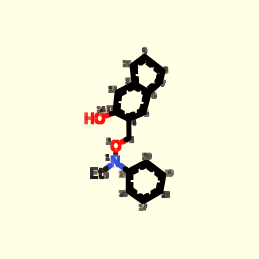 CCN(OCc1cc2ccccc2cc1O)c1ccccc1